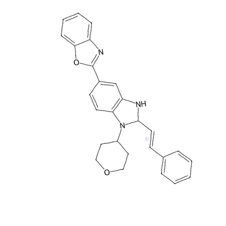 C(=C\C1Nc2cc(-c3nc4ccccc4o3)ccc2N1C1CCOCC1)/c1ccccc1